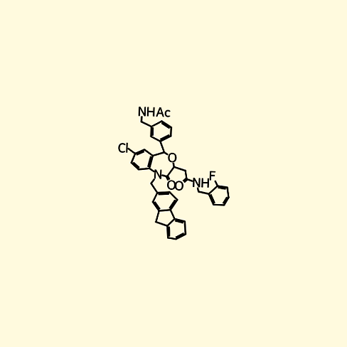 CC(=O)NCc1cccc(C2OC(CC(=O)NCc3ccccc3F)C(=O)N(Cc3ccc4c(c3)Cc3ccccc3-4)c3ccc(Cl)cc32)c1